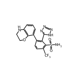 NS(=O)(=O)c1c(C(F)(F)F)ccc(-c2cccc3c2OCCN3)c1-c1nnn[nH]1